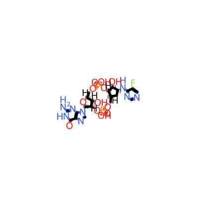 Nc1nc2c(ncn2[C@@H]2O[C@@H]3COP(=O)(O)O[C@@H]4[C@@H](COP(=O)(O)O[C@@H]2[C@@H]3O)C[C@@H](Nc2ncncc2F)[C@@H]4O)c(=O)[nH]1